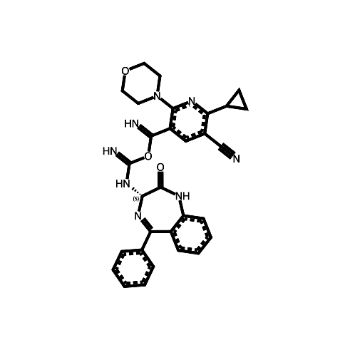 N#Cc1cc(C(=N)OC(=N)N[C@H]2N=C(c3ccccc3)c3ccccc3NC2=O)c(N2CCOCC2)nc1C1CC1